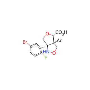 CC(=O)[C@@]12CON[C@@]1(c1cc(Br)ccc1F)CO[C@@H]2C(=O)O